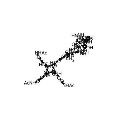 CC(=O)NCCOCCOCCNC(=O)CN1CCN(CC(=O)NCCOCCOCCNC(C)=O)CCN(CC(=O)NCCOCCOCCN2C(=O)[C@@H](NC(=O)[C@H](CCCNC(=N)N)NC(=O)CNC(=O)[C@H](CCCNC(=N)N)NC(=O)[C@H](Cc3ccc(O)cc3)NC(=O)[C@@H](NC(C)=O)c3c[nH]c4ccccc34)CC2C)CCN(CC(=O)NCCOCCOCCNC(C)=O)CC1